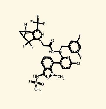 Cn1nc(NS(C)(=O)=O)c2cccc(-c3ccc(Cl)nc3[C@H](Cc3cc(F)cc(F)c3)NC(=O)Cn3nc(C(F)(F)F)c4c3C(F)(F)C3C[C@H]43)c21